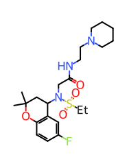 CCS(=O)(=O)N(CC(=O)NCCN1CCCCC1)C1CC(C)(C)Oc2ccc(F)cc21